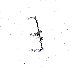 CCCCCC=CCC=CCCCCCCCC(=O)OCC(COC(=O)CCCCCCC/C=C\C/C=C\CCCCC)OC(=O)CN